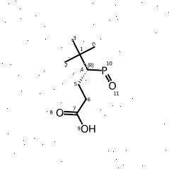 CC(C)(C)[C@@H](CCC(=O)O)P=O